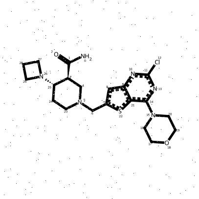 NC(=O)[C@H]1CN(Cc2cc3nc(Cl)nc(N4CCOCC4)c3s2)CC[C@@H]1N1CCC1